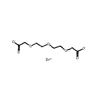 O=C([O-])COCCOCCOCC(=O)[O-].[Zn+2]